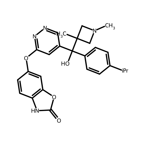 CC(C)c1ccc(C(O)(c2cnnc(Oc3ccc4[nH]c(=O)oc4c3)c2)C2(C)CN(C)C2)cc1